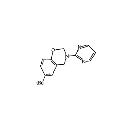 CC(C)(C)c1ccc2c(c1)CN(c1ncccn1)CO2